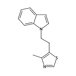 Cc1ncsc1CCn1c[c]c2ccccc21